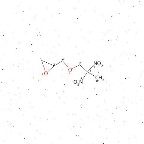 CC(COCC1CO1)([N+](=O)[O-])[N+](=O)[O-]